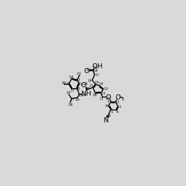 COc1ccc(C#N)cc1OCc1ccc(CCC(=O)O)c(C(=O)NC(CC(C)C)c2cc(C)cc(C)c2)c1